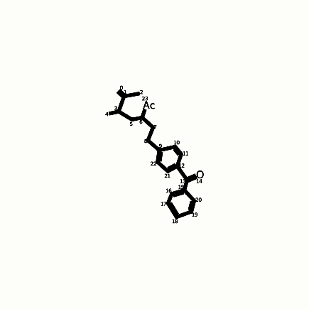 C=C(C)C(C)CC(CCc1ccc(C(=O)c2ccccc2)cc1)C(C)=O